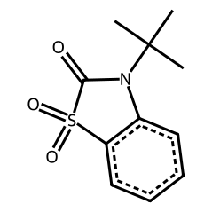 CC(C)(C)N1C(=O)S(=O)(=O)c2ccccc21